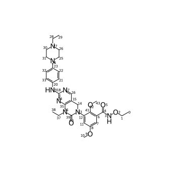 CCONC(=O)c1cc(OC)cc(N2Cc3cnc(Nc4ccc(N5CCN(CC)CC5)cc4)nc3N(CC)C2=O)c1OC